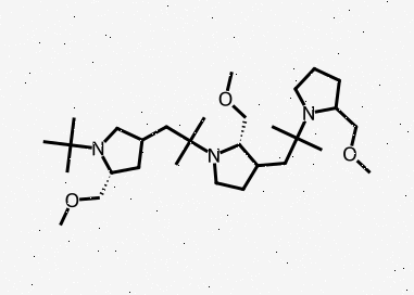 COCC1CCCN1C(C)(C)CC1CCN(C(C)(C)CC2C[C@H](COC)N(C(C)(C)C)C2)[C@@H]1COC